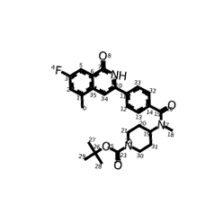 Cc1cc(F)cc2c(=O)[nH]c(-c3ccc(C(=O)N(C)C4CCN(C(=O)OC(C)(C)C)CC4)cc3)cc12